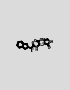 COC(=O)[C@H](C[C@@H]1CCNC1=O)NC(=O)[C@@H](C)C1Cc2ccccc2C1